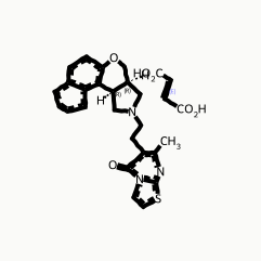 Cc1nc2sccn2c(=O)c1CCN1C[C@@H]2COc3ccc4ccccc4c3[C@@H]2C1.O=C(O)/C=C/C(=O)O